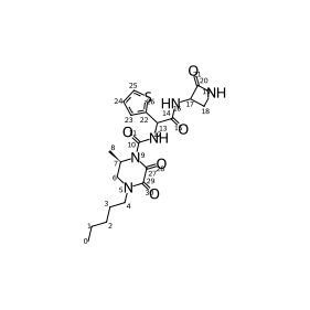 CCCCCN1C[C@@H](C)N(C(=O)NC(C(=O)NC2CNC2=O)c2cccs2)C(=O)C1=O